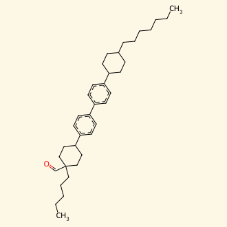 CCCCCCCC1CCC(c2ccc(-c3ccc(C4CCC(C=O)(CCCCC)CC4)cc3)cc2)CC1